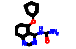 NC(=O)Nc1ncnc2cccc(Oc3ccccc3)c12